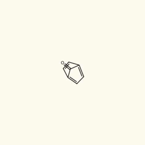 O=C1C2=CC=C1C=C2